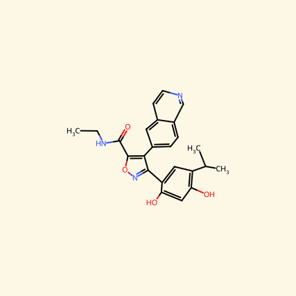 CCNC(=O)c1onc(-c2cc(C(C)C)c(O)cc2O)c1-c1ccc2cnccc2c1